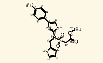 CC(C)c1ccc(-c2csc(N(Cc3cccs3)S(=O)(=O)CC(=O)OC(C)(C)C)n2)cc1